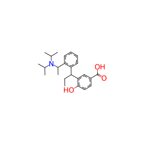 CCC(c1cc(C(=O)O)ccc1O)c1ccccc1C(C)N(C(C)C)C(C)C